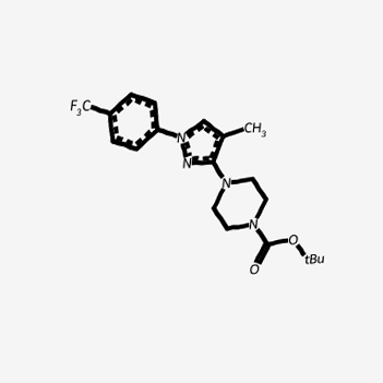 Cc1cn(-c2ccc(C(F)(F)F)cc2)nc1N1CCN(C(=O)OC(C)(C)C)CC1